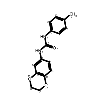 Cc1ccc(NC(=O)Nc2ccc3c(c2)OCCO3)cc1